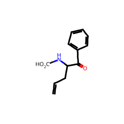 C=CCC(NC(=O)O)C(=O)c1ccccc1